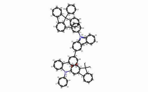 CC1(C)c2ccccc2-c2cc(N(c3ccccc3)c3ccccc3-c3cccc(-c4ccc5c(c4)c4ccccc4n5-c4cccc(-c5cccc6c5C(c5ccccc5)(c5ccccc5)c5ccccc5-6)c4)c3)ccc21